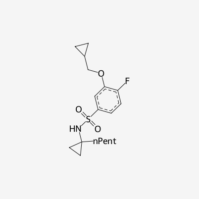 CCCCCC1(NS(=O)(=O)c2ccc(F)c(OCC3CC3)c2)CC1